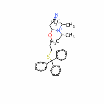 CC(C)[N+](C(C)C)C(CC#N)OCCCSC(c1ccccc1)(c1ccccc1)c1ccccc1